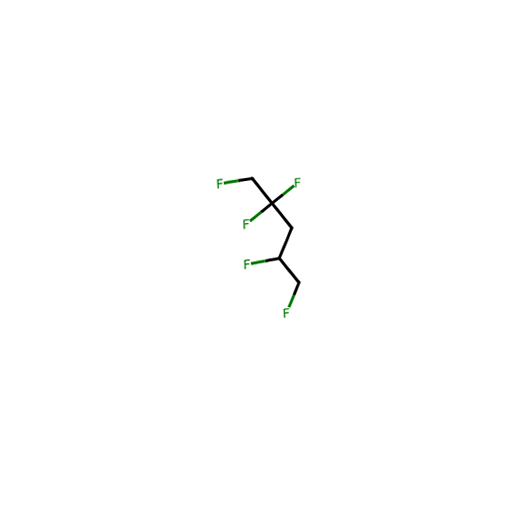 FCC(F)CC(F)(F)CF